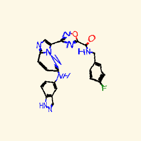 O=C(NCc1ccc(F)cc1)c1nc(-c2cnc3ccc(Nc4ccc5[nH]ncc5c4)nn23)no1